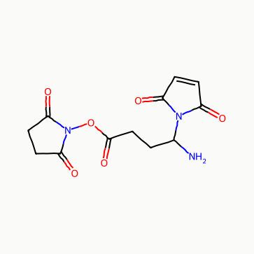 NC(CCC(=O)ON1C(=O)CCC1=O)N1C(=O)C=CC1=O